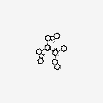 c1ccc(-c2nc(-c3cc(-c4cccc5c4sc4ccccc45)cc(-c4cccc5c4sc4ccccc45)c3)cc(-c3ccc4ccccc4c3)n2)cc1